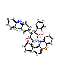 c1ccc2c(c1)Sc1ccccc1N2B1c2oc3ccccc3c2B(c2ccc3nc4ccccc4cc3c2)c2oc3ccccc3c21